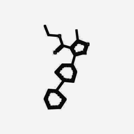 CCOC(=O)c1c(-c2ccc(-c3ccccc3)cc2)noc1C